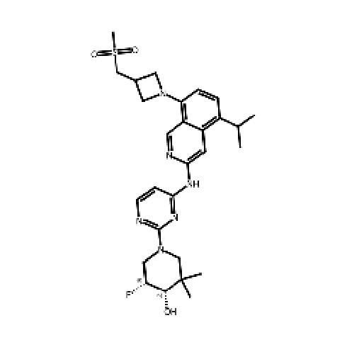 CC(C)c1ccc(N2CC(CS(C)(=O)=O)C2)c2cnc(Nc3ccnc(N4C[C@@H](F)[C@@H](O)C(C)(C)C4)n3)cc12